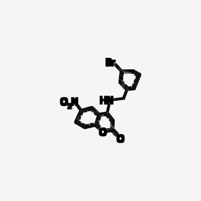 O=c1cc(NCc2cccc(Br)c2)c2cc([N+](=O)[O-])ccc2o1